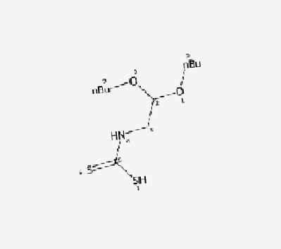 CCCCOC(CNC(=S)S)OCCCC